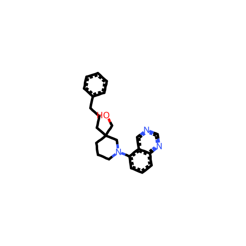 OCC1(CCCc2ccccc2)CCCN(c2cccc3ncncc23)C1